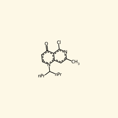 CCCC(CCC)n1ccc(=O)c2c(Cl)nc(C)cc21